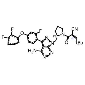 CC(C)(C)/C=C(/C#N)C(=O)N1CCC[C@H]1Cn1nc(-c2ccc(Oc3cccc(F)c3F)cc2F)c2c(N)ncnc21